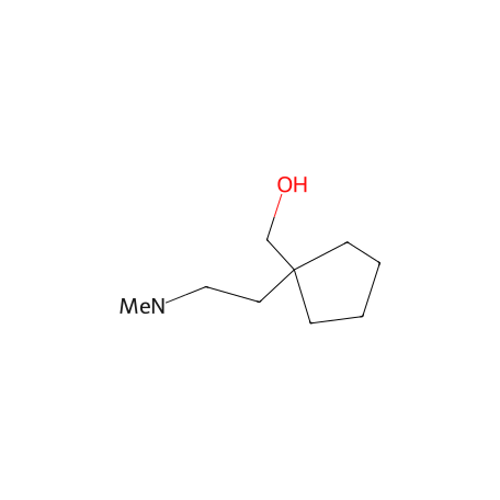 CNCCC1(CO)CCCC1